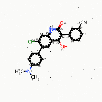 CN(C)c1ccc(-c2cc3c(O)c(-c4cccc(C#N)c4)c(=O)[nH]c3cc2Cl)cc1